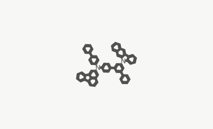 c1ccc(-c2ccc(N(c3ccc(-c4cc(-c5ccccc5)cc(-n5c6ccccc6c6cc7ccccc7cc65)c4)cc3)c3cc4c5c(cccc5c3)-c3ccccc3-4)cc2)cc1